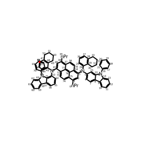 CCCc1cc(N(c2ccc3c4ccccc4n(-c4ccccc4)c3c2)c2cccc3c2CCCC3)c2ccc3c(CCC)cc(N(c4cccc5c4CCCC5)c4cccc5c6ccccc6n(-c6ccccc6)c45)c4ccc1c2c34